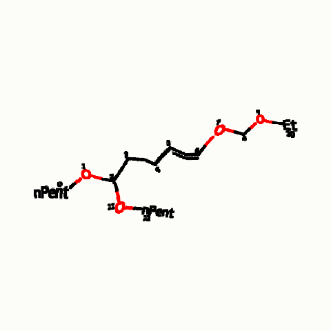 CCCCCOC(CCC=COCOCC)OCCCCC